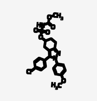 COC(=O)NS(=O)(=O)OC1CCc2nn(-c3ccc(OC)cc3)c(-c3ccc(Cl)cc3)c2C1